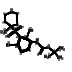 CC(C)(C)OC(=O)Nc1ccc(Cl)c(S(=O)(=O)C2(C)CCOCC2)c1O